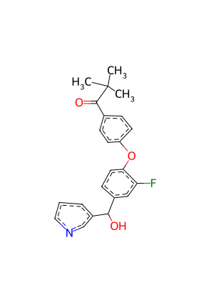 CC(C)(C)C(=O)c1ccc(Oc2ccc(C(O)c3cccnc3)cc2F)cc1